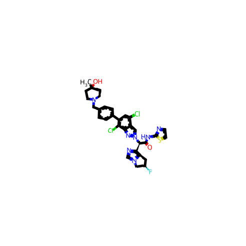 CC1(O)CCN(Cc2ccc(-c3cc(Cl)c4cn([C@@H](C(=O)Nc5nccs5)c5ncn6c5C[C@@H](F)C6)nc4c3Cl)cc2)CC1